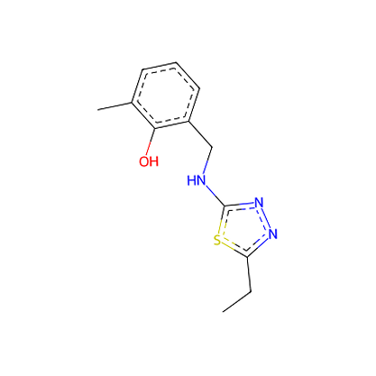 CCc1nnc(NCc2cccc(C)c2O)s1